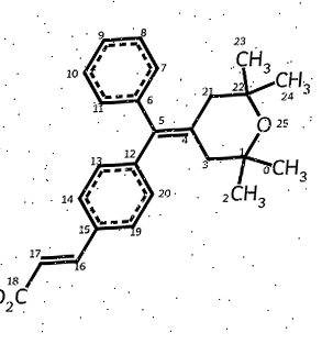 CC1(C)CC(=C(c2ccccc2)c2ccc(/C=C/C(=O)O)cc2)CC(C)(C)O1